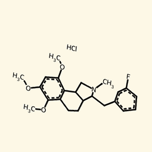 COc1cc(OC)c2c(c1OC)CCC1C2CN(C)C1Cc1cccc(F)c1.Cl